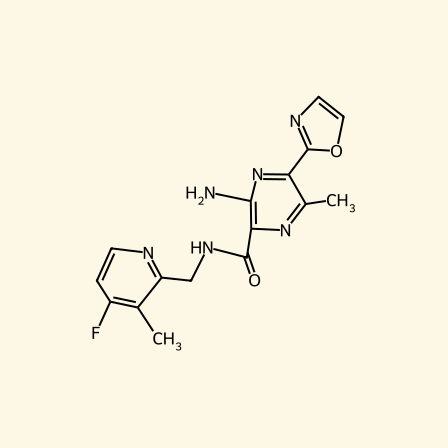 Cc1nc(C(=O)NCc2nccc(F)c2C)c(N)nc1-c1ncco1